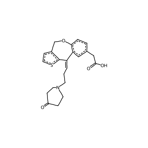 O=C(O)Cc1ccc2c(c1)C(=CCCN1CCC(=O)CC1)c1sccc1CO2